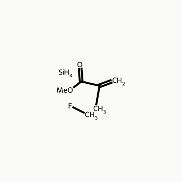 C=C(C)C(=O)OC.CF.[SiH4]